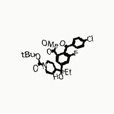 CC[C@@](O)(c1cc(F)c(C(=O)c2ccc(Cl)cc2)c(C(=O)OC)c1)C1CCN(C(=O)OC(C)(C)C)CC1